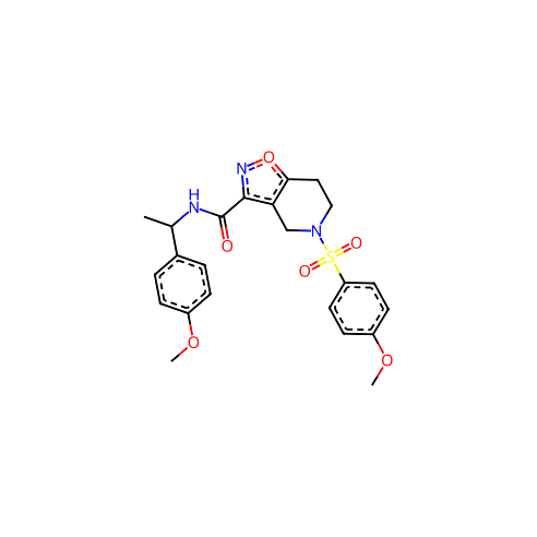 COc1ccc(C(C)NC(=O)c2noc3c2CN(S(=O)(=O)c2ccc(OC)cc2)CC3)cc1